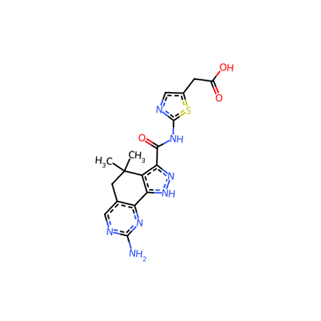 CC1(C)Cc2cnc(N)nc2-c2[nH]nc(C(=O)Nc3ncc(CC(=O)O)s3)c21